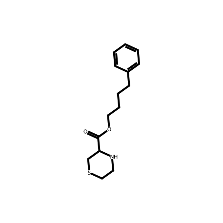 O=C(OCCCCc1ccccc1)C1CSCCN1